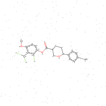 CCCc1ccc(C2CCC(C(=O)Oc3ccc(OCC)c(C(F)F)c3F)CO2)cc1